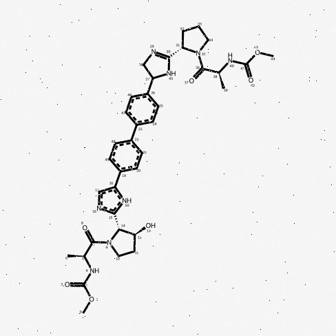 COC(=O)N[C@@H](C)C(=O)N1CC[C@H](O)[C@H]1c1ncc(-c2ccc(-c3ccc(C4CN=C([C@@H]5CCCN5C(=O)[C@H](C)NC(=O)OC)N4)cc3)cc2)[nH]1